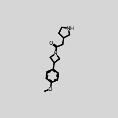 COc1ccc(C2CN(C(=O)CC3CCNC3)C2)cc1